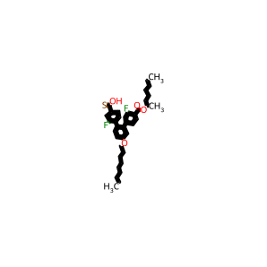 CCCCCCCCCOc1ccc(-c2ccc(C(O)=S)cc2F)c(-c2ccc(C(=O)OC(C)CCCCCC)c(F)c2)c1